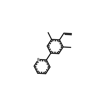 C=Cc1c(C)cc(-c2bcccc2)cc1C